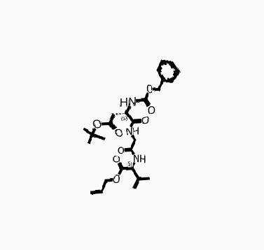 C=CCOC(=O)[C@@H](NC(=O)CNC(=O)[C@H](CC(=O)OC(C)(C)C)NC(=O)OCc1ccccc1)C(C)C